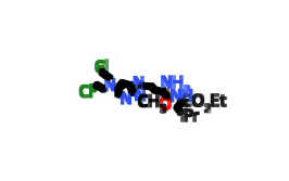 CCOC(=O)[C@H](CC(C)C)NC(=O)[C@@H](N)CCc1nc2cc(N(CCCl)CCCl)cnc2n1C